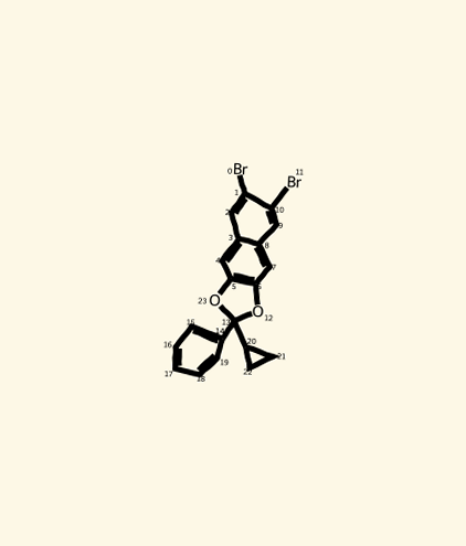 Brc1cc2cc3c(cc2cc1Br)OC(c1ccccc1)(C1CC1)O3